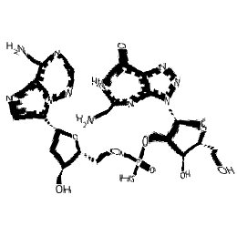 Nc1nc2c(nnn2[C@@H]2S[C@H](CO)[C@@H](O)C2OP(=O)(S)OC[C@H]2O[C@@H](c3cnc4c(N)ncnn34)C[C@@H]2O)c(=O)[nH]1